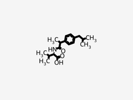 CC(C)Cc1ccc(C(C)C(=O)N[C@H](C(=O)O)C(C)C)cc1